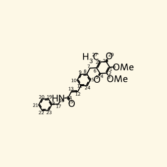 COC1=C(OC)C(=O)C(Cc2ccc(/C=C/C(=O)NCc3ccccc3)cc2)=C(C)C1=O